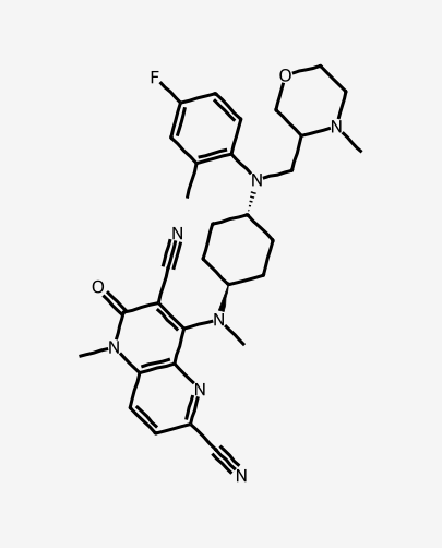 Cc1cc(F)ccc1N(CC1COCCN1C)[C@H]1CC[C@H](N(C)c2c(C#N)c(=O)n(C)c3ccc(C#N)nc23)CC1